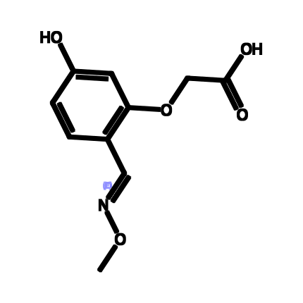 CO/N=C/c1ccc(O)cc1OCC(=O)O